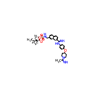 CCC(C)(C)C(=O)OS(=O)(=O)NCc1ccc2ccc(C(=N)Nc3ccc(OC4CCN(C(C)=N)CC4)cc3)cc2c1